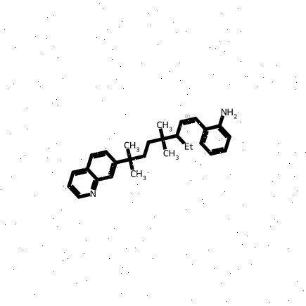 CCC(/C=C\c1ccccc1N)C(C)(C)CCC(C)(C)c1ccc2cccnc2c1